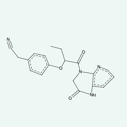 CCC(Oc1ccc(CC#N)cc1)C(=O)N1CC(=O)Nc2cccnc21